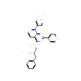 Cn1cc(-c2nccc3c(NC[C@H](N)Cc4ccccc4)nc(-c4ccncc4)nc23)cn1